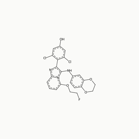 Oc1cc(Cl)c(-c2nc3cccc(OCCF)n3c2Nc2ccc3c(c2)OCCO3)c(Cl)c1